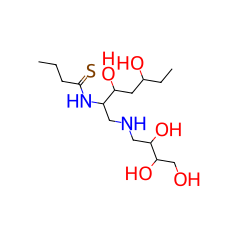 CCCC(=S)NC(CNCC(O)C(O)CO)C(O)CC(O)CC